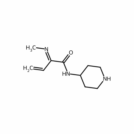 C=C/C(=N\C)C(=O)NC1CCNCC1